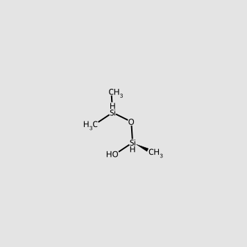 C[SiH](C)O[Si@@H](C)O